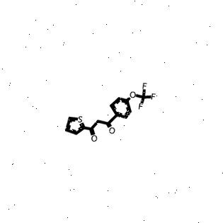 O=C(CC(=O)c1cccs1)c1ccc(OC(F)(F)F)cc1